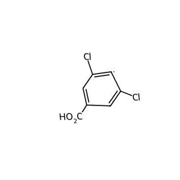 O=C(O)c1cc(Cl)[c]c(Cl)c1